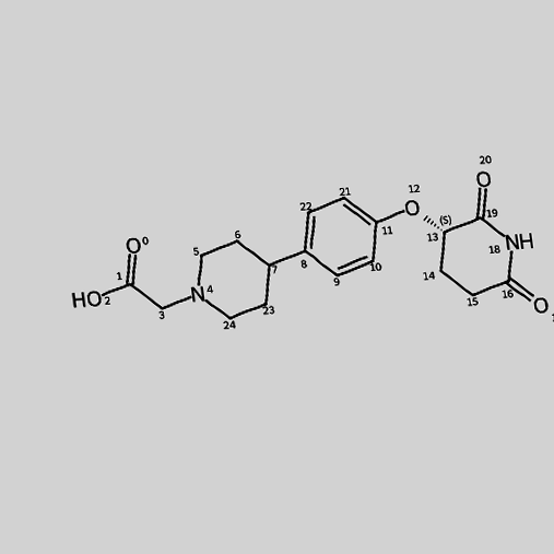 O=C(O)CN1CCC(c2ccc(O[C@H]3CCC(=O)NC3=O)cc2)CC1